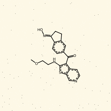 COCCNc1sc2cnccc2c1C(=O)c1ccc2c(c1)CCC2=NO